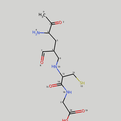 CC(=O)C(N)CC(C=O)CNC(CS)C(=O)NCC(=O)O